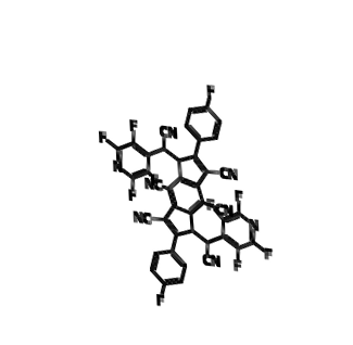 N#CC1=C(c2ccc(F)cc2)C(C(C#N)c2c(F)c(F)nc(F)c2F)c2c(C#N)c3c(c(C#N)c21)C(C(C#N)c1c(F)c(F)nc(F)c1F)C(c1ccc(F)cc1)=C3C#N